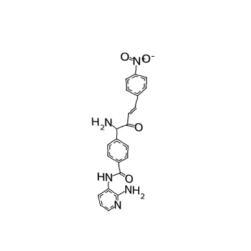 Nc1ncccc1NC(=O)c1ccc(C(N)C(=O)C=Cc2ccc([N+](=O)[O-])cc2)cc1